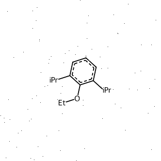 CCOc1c(C(C)C)c[c]cc1C(C)C